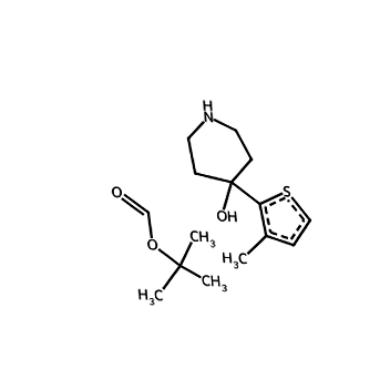 CC(C)(C)OC=O.Cc1ccsc1C1(O)CCNCC1